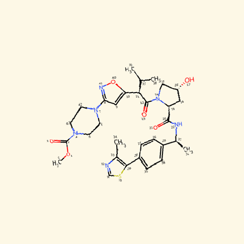 COC(=O)N1CCN(c2cc([C@H](C(=O)N3C[C@H](O)C[C@H]3C(=O)N[C@@H](C)c3ccc(-c4scnc4C)cc3)C(C)C)on2)CC1